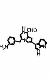 Nc1cccc(CC2=CNC(C=O)c3cc(-c4c[nH]c5ncccc45)cn32)c1